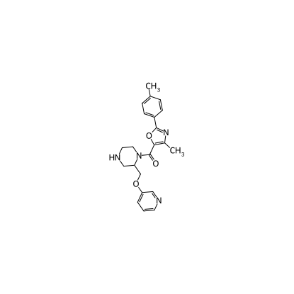 Cc1ccc(-c2nc(C)c(C(=O)N3CCNCC3COc3cccnc3)o2)cc1